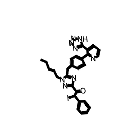 CCCCCn1nc(C(=O)C(I)c2ccccc2)nc1Cc1ccc(-c2ncccc2-c2nnn[nH]2)cc1